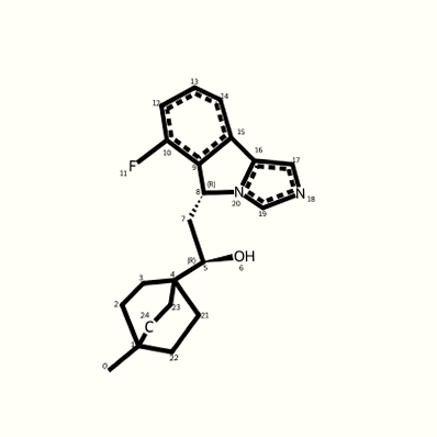 CC12CCC([C@H](O)C[C@@H]3c4c(F)cccc4-c4cncn43)(CC1)CC2